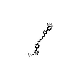 CCn1nnc(-c2ccc(OCCCCCC3CCC(c4ccnc(N)c4)C3)nc2)n1